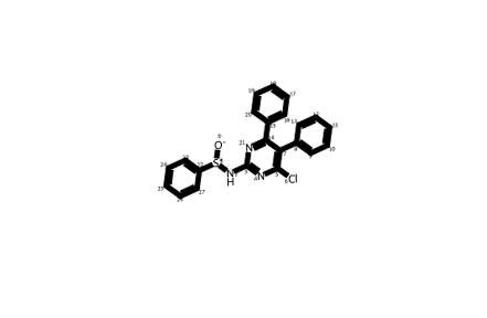 [O-][S+](Nc1nc(Cl)c(-c2ccccc2)c(-c2ccccc2)n1)c1ccccc1